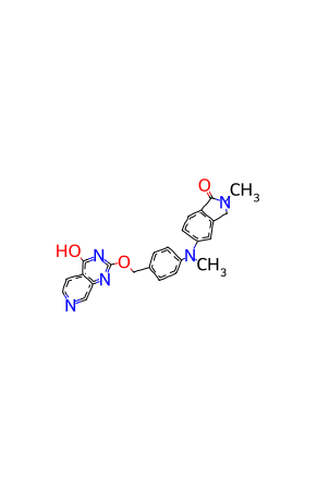 CN1Cc2cc(N(C)c3ccc(COc4nc(O)c5ccncc5n4)cc3)ccc2C1=O